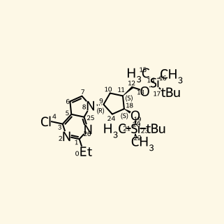 CCc1nc(Cl)c2ccn([C@@H]3C[C@@H](CO[Si](C)(C)C(C)(C)C)[C@@H](O[Si](C)(C)C(C)(C)C)C3)c2n1